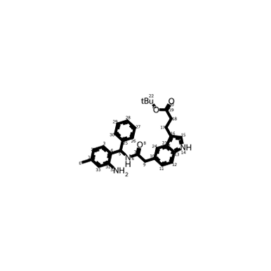 Cc1ccc(C(NC(=O)Cc2ccc3[nH]cc(CCC(=O)OC(C)(C)C)c3c2)c2ccccc2)c(N)c1